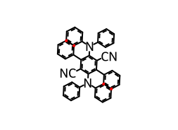 N#Cc1c(-c2ccccc2)c(N(c2ccccc2)c2ccccc2)c(C#N)c(-c2ccccc2)c1N(c1ccccc1)c1ccccc1